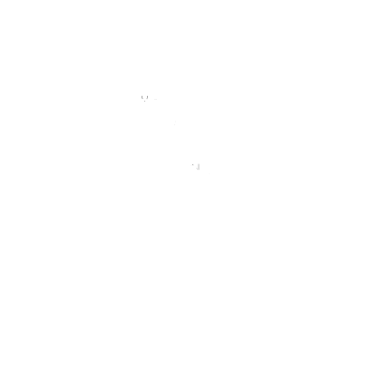 COC(=O)C[C@H](N)Cc1ccc2ccccc2c1